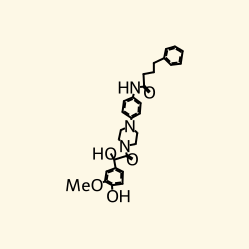 COc1cc(C(O)C(=O)N2CCN(c3ccc(NC(=O)CCCc4ccccc4)cc3)CC2)ccc1O